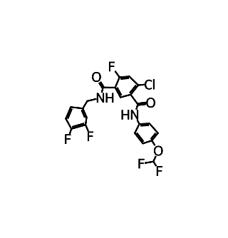 O=C(NCc1ccc(F)c(F)c1)c1cc(C(=O)Nc2ccc(OC(F)F)cc2)c(Cl)cc1F